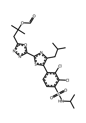 CC(C)Cc1nc(-c2nnc(CC(C)(C)OC=O)o2)sc1-c1ccc(S(=O)(=O)NC(C)C)c(Cl)c1Cl